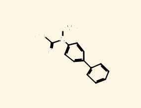 CCCCC(=O)N(OC)c1ccc(-c2ccccc2)cc1